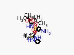 CCOC(OCC)[C@H](CC(=O)OC(C)(C)C)NS(=O)(=O)c1ccc(N)cc1OCC(C)C1(SC)Nc2ccccc2N1